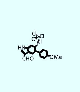 COc1ccc(-c2cc3c(C=O)c[nH]c3cc2F)cc1.O=P(Cl)(Cl)Cl